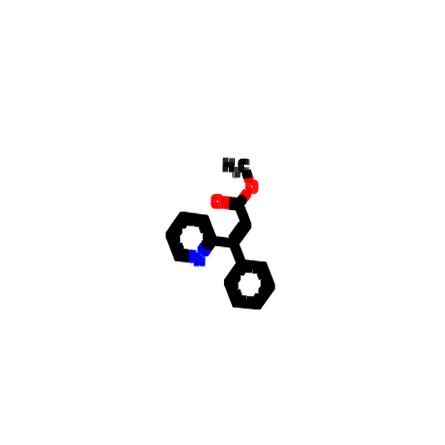 COC(=O)/C=C(/c1ccccc1)c1ccccn1